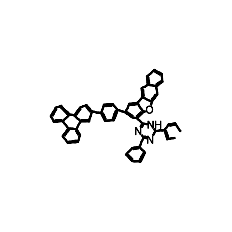 C/C=C\C(=C/C)C1N=C(c2ccccc2)N=C(c2cc(-c3ccc(-c4ccc5c6ccccc6c6ccccc6c5c4)cc3)cc3c2oc2cc4ccccc4cc23)N1